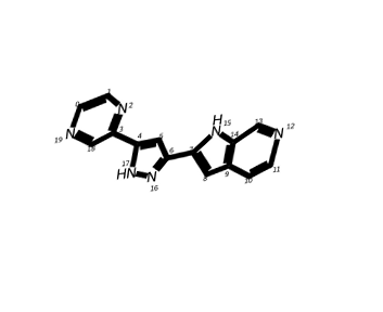 c1cnc(-c2cc(-c3cc4ccncc4[nH]3)n[nH]2)cn1